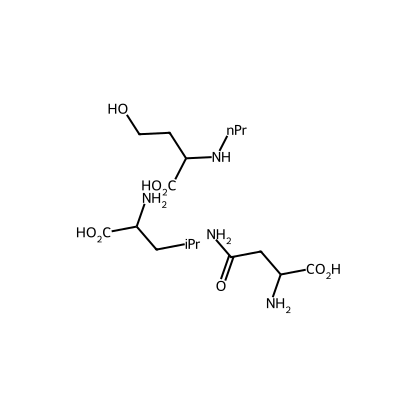 CC(C)CC(N)C(=O)O.CCCNC(CCO)C(=O)O.NC(=O)CC(N)C(=O)O